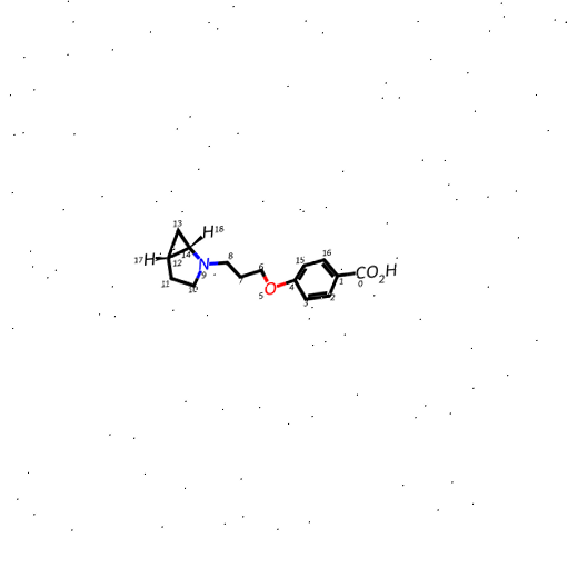 O=C(O)c1ccc(OCCCN2CC[C@@H]3C[C@@H]32)cc1